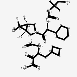 CC(C)(CO)NC(=O)N[C@H](C(=O)N1C[C@H]2[C@@H]([C@H]1C(=O)NC(CC1CCC1)C(=O)C(N)=O)C2(Cl)Cl)C1CCCCC1